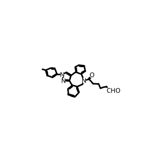 Cc1ccc(-n2cc3c(n2)-c2ccccc2CN(C(=O)CCCCC=O)c2ccccc2-3)cc1